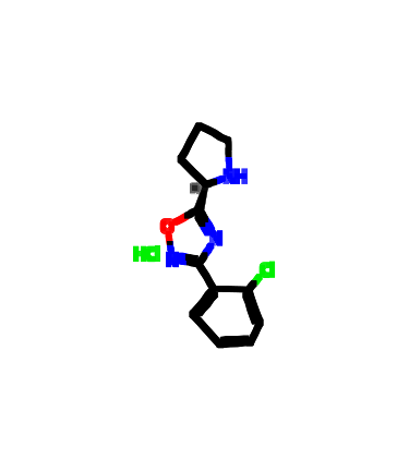 Cl.Clc1ccccc1-c1noc([C@H]2CCCN2)n1